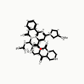 CCCCOC(=O)N1CCNCC1C(=O)C(C[PH](=O)OC(OC(=O)C(C)C)OC(=O)C(C)C)NC(=O)c1cc(N2CCC(OC)C2)nc(-c2ccccc2)n1